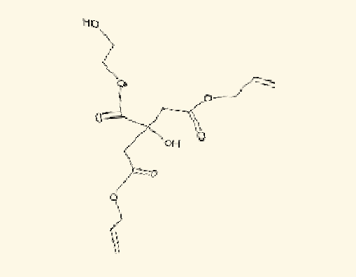 C=CCOC(=O)CC(O)(CC(=O)OCC=C)C(=O)OCCO